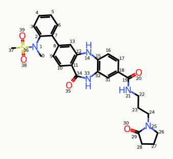 CN(c1ccccc1-c1ccc2c(c1)Nc1ccc(C(=O)NCCCN3CCCC3=O)cc1NC2=O)S(C)(=O)=O